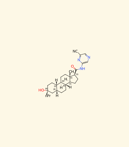 CCC[C@@]1(O)CC[C@H]2[C@H](CC[C@@H]3[C@@H]2CC[C@]2(C)[C@@H](C(=O)Nc4cncc(C#N)n4)CC[C@@H]32)C1